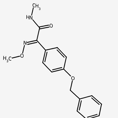 CNC(=O)/C(=N/OC)c1ccc(OCc2ccccc2)cc1